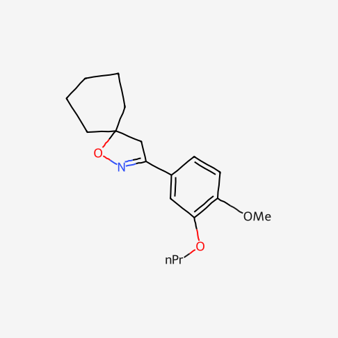 [CH2]CCOc1cc(C2=NOC3(CCCCC3)C2)ccc1OC